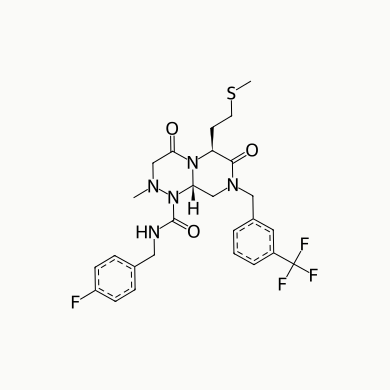 CSCC[C@H]1C(=O)N(Cc2cccc(C(F)(F)F)c2)C[C@H]2N1C(=O)CN(C)N2C(=O)NCc1ccc(F)cc1